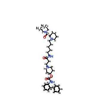 CCN(CC)C(=O)[C@@H]1CCCCN1CCCCCNC(=O)CCN1CCC(OC(=O)Nc2ccccc2-c2ccccc2)CC1